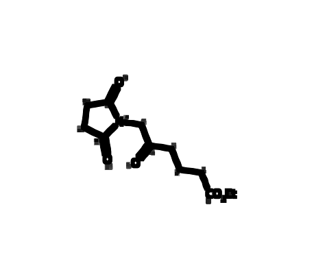 CCOC(=O)CCCC(=O)CN1C(=O)CCC1=O